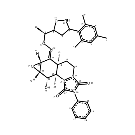 Cc1cc(C)c(C2CC([C@H](C)O/N=C3/[C@H]4CCn5c(=O)n(-c6ccccc6)c(=O)n5[C@H]4[C@H](O)[C@@H]4O[C@H]34)ON2)c(C)c1